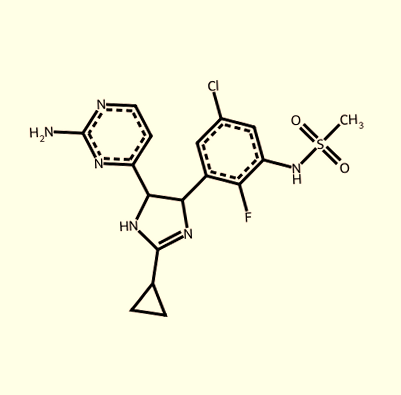 CS(=O)(=O)Nc1cc(Cl)cc(C2N=C(C3CC3)NC2c2ccnc(N)n2)c1F